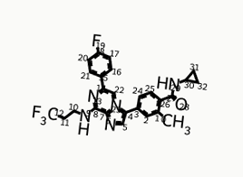 Cc1cc(-c2cnc3c(NCCC(F)(F)F)nc(-c4ccc(F)cc4)cn23)ccc1C(=O)NC1CC1